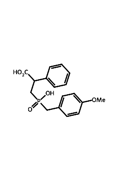 COc1ccc(CP(=O)(O)CC(C(=O)O)c2ccccc2)cc1